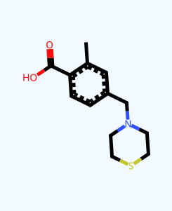 Cc1cc(CN2CCSCC2)ccc1C(=O)O